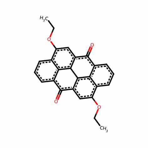 CCOc1cc2c3c4c1cccc4c(=O)c1cc(OCC)c4cccc(c2=O)c4c1-3